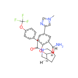 Cn1cnc(-c2ccc(OC3[C@@H]4CC[C@H]3CN(C(=O)Cc3ccc(OC(F)(F)F)cc3)C4)c(C(N)=O)c2)c1